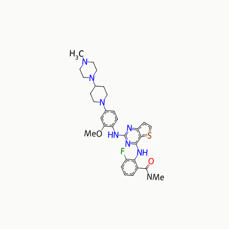 CNC(=O)c1cccc(F)c1Nc1nc(Nc2ccc(N3CCC(N4CCN(C)CC4)CC3)cc2OC)nc2ccsc12